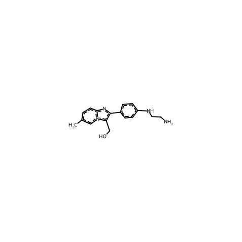 Cc1ccc2nc(-c3ccc(NCCN)cc3)c(CO)n2c1